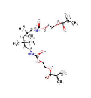 C=C(C)C(=O)OCCOC(=O)NCCC(C)(C)CC(C)(C)CNC(=O)OCCOC(=O)C(=C)C